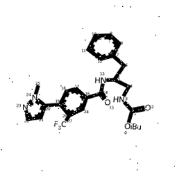 CC(C)COC(=O)NCC(Cc1ccccc1)NC(=O)c1ccc(-c2ccnn2C)c(C(F)(F)F)c1